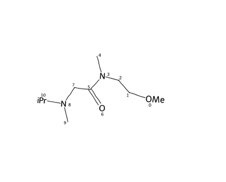 COCCN(C)C(=O)CN(C)C(C)C